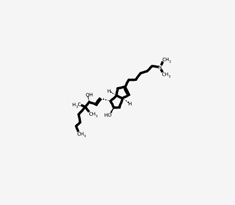 CCCCC(C)(C)[C@H](O)/C=C/[C@@H]1[C@H]2CC(CCCCCN(C)C)=C[C@H]2C[C@H]1O